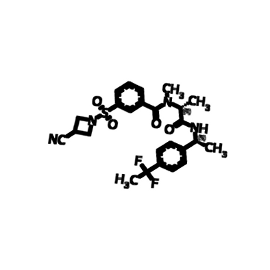 C[C@H](NC(=O)[C@@H](C)N(C)C(=O)c1cccc(S(=O)(=O)N2CC(C#N)C2)c1)c1ccc(C(C)(F)F)cc1